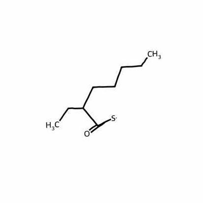 CCCCCC(CC)C(=O)[S]